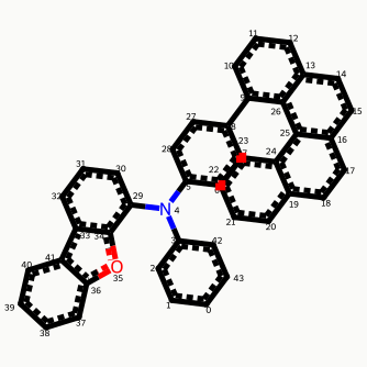 c1ccc(N(c2ccc(-c3cccc4ccc5ccc6ccccc6c5c34)cc2)c2cccc3c2oc2ccccc23)cc1